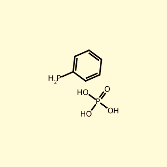 O=P(O)(O)O.Pc1ccccc1